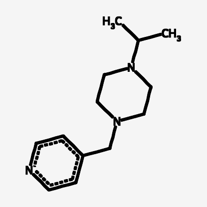 CC(C)N1CCN(Cc2ccncc2)CC1